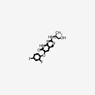 C[C@@H](CO)Nc1ncc2cc(Oc3ccc(F)cc3F)c(=O)[nH]c2n1